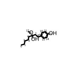 CCCCCC(O)(CCc1ccc(O)cc1)OC